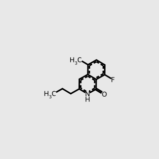 CCCc1cc2c(C)ccc(F)c2c(=O)[nH]1